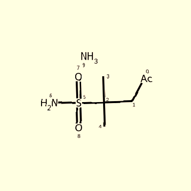 CC(=O)CC(C)(C)S(N)(=O)=O.N